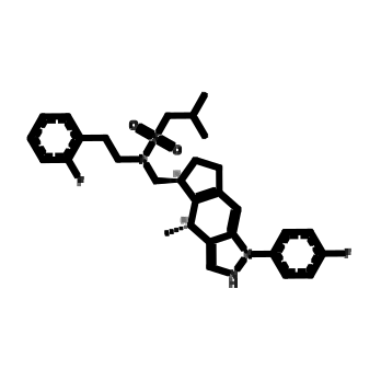 CC(C)CS(=O)(=O)N(CCc1ccccc1F)C[C@H]1CCC2=C1[C@@H](C)C1=CNN(c3ccc(F)cc3)C1=C2